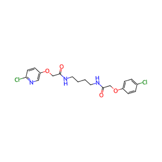 O=C(COc1ccc(Cl)cc1)NCCCCNC(=O)COc1ccc(Cl)nc1